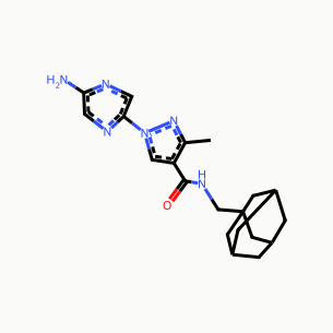 Cc1nn(-c2cnc(N)cn2)cc1C(=O)NCC12CC3CC(CC(C3)C1)C2